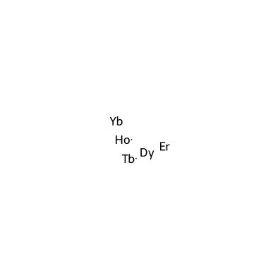 [Dy].[Er].[Ho].[Tb].[Yb]